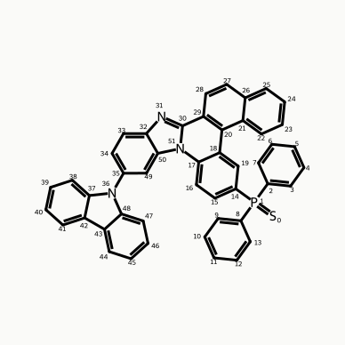 S=P(c1ccccc1)(c1ccccc1)c1ccc2c(c1)c1c3ccccc3ccc1c1nc3ccc(-n4c5ccccc5c5ccccc54)cc3n21